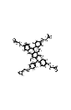 Fc1c(F)c(C(c2ccc(OCC3CO3)cc2)c2ccc(OCC3CO3)cc2)c(F)c(F)c1C(c1ccc(OCC2CO2)cc1)c1ccc(OCC2CO2)cc1